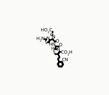 N#Cc1ccccc1/C=C/C1=C(C(=O)O)N2C(=O)C(NC(=O)/C(=N/OCC(=O)O)c3csc(N)n3)[C@H]2SC1